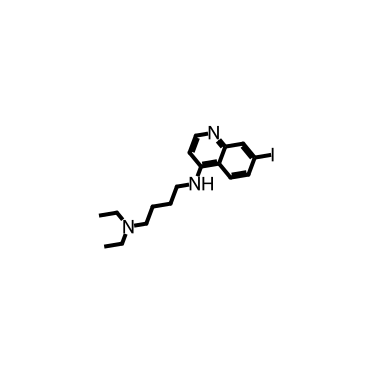 CCN(CC)CCCCNc1ccnc2cc(I)ccc12